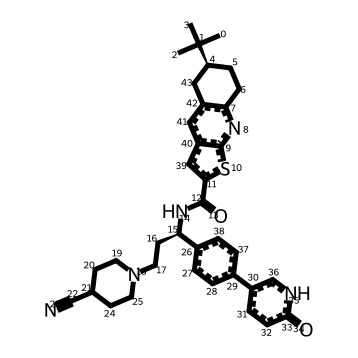 CC(C)(C)[C@H]1CCc2nc3sc(C(=O)N[C@H](CCN4CCC(C#N)CC4)c4ccc(-c5ccc(=O)[nH]c5)cc4)cc3cc2C1